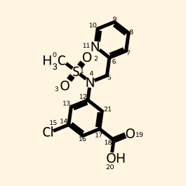 CS(=O)(=O)N(Cc1ccccn1)c1cc(Cl)cc(C(=O)O)c1